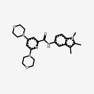 Cc1c(C)n(C)c2ccc(NC(=O)c3cc(N4CCOCC4)cc(N4CCOCC4)n3)cc12